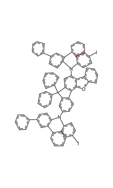 Ic1ccc(N(c2ccc3c(c2)C(c2ccccc2)(c2ccccc2)c2cc(N(c4ccc(I)cc4)c4ccc(-c5ccccc5)cc4-c4ccccc4)c4c(oc5ccccc54)c2-3)c2ccc(-c3ccccc3)cc2-c2ccccc2)cc1